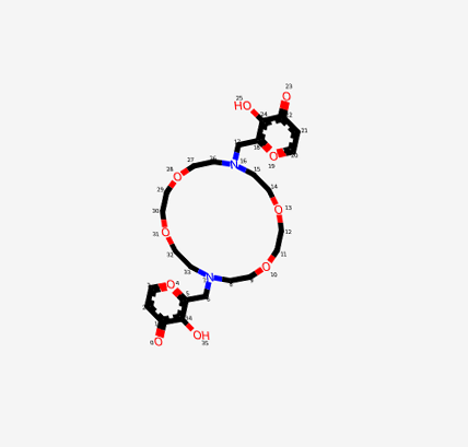 O=c1ccoc(CN2CCOCCOCCN(Cc3occc(=O)c3O)CCOCCOCC2)c1O